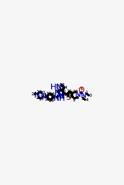 CCN(CC)C(=O)N1CCc2sc(-c3nc(Nc4ccc(N5CCN(C)CC5)cc4)nc4[nH]ccc34)cc2C1